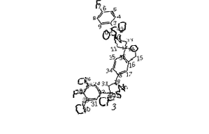 O=S(=O)(c1ccc(F)cc1)N1CC2(C1)OCc1cc(C3=NSC(c4cc(Cl)c(F)c(Cl)c4)(C(F)(F)F)C3)ccc12